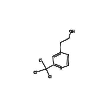 OCCc1ccnc(C(Cl)(Cl)Cl)c1